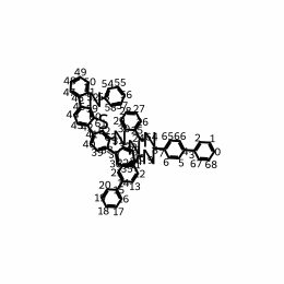 c1ccc(-c2ccc(-c3nc(-c4ccc(-c5ccccc5)cc4)nc(-c4ccccc4-n4c5ccccc5c5ccc6c7ccc8c9ccccc9n(-c9ccccc9)c8c7sc6c54)n3)cc2)cc1